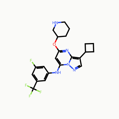 Fc1cc(Nc2cc(OC3CCCNC3)nc3c(C4CCC4)cnn23)cc(C(F)(F)F)c1